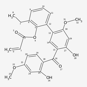 C=CC(=O)Oc1c(CC)cccc1-c1cc(C(=O)c2ccc(OC)cc2O)c(O)cc1OC